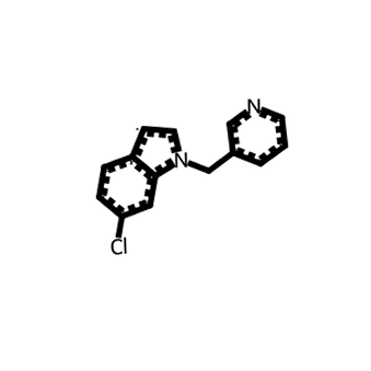 Clc1ccc2[c]cn(Cc3cccnc3)c2c1